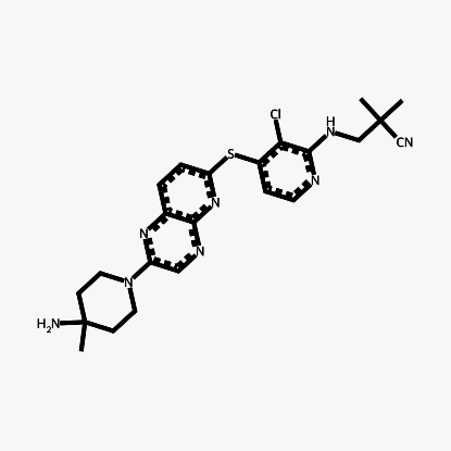 CC(C)(C#N)CNc1nccc(Sc2ccc3nc(N4CCC(C)(N)CC4)cnc3n2)c1Cl